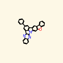 c1ccc(-c2cc3c4cc5c(cc4n4c6nc7ccccc7nc6c(c2)c34)oc2ccccc25)cc1